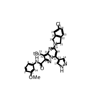 COc1cccc(NC(=O)c2nn3c(-c4cn[nH]c4)cc(N4Cc5ccc(Cl)cc5C4)nc3c2C(C)(C)C)c1